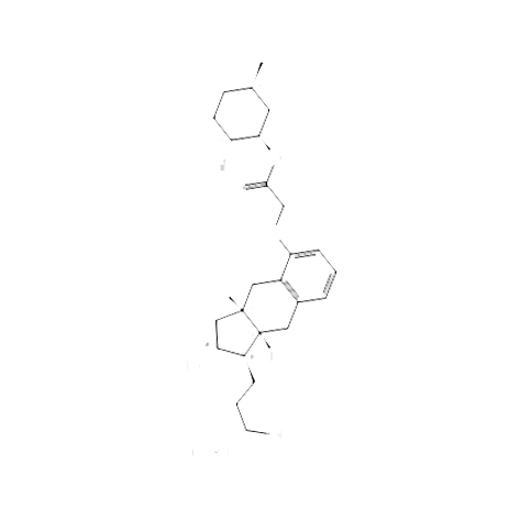 CCCCC[C@@H](O)CC[C@@H]1[C@H]2Cc3cccc(OCC(=O)O[C@@H]4C[C@H](C)CC[C@H]4C(C)C)c3C[C@H]2C[C@H]1O